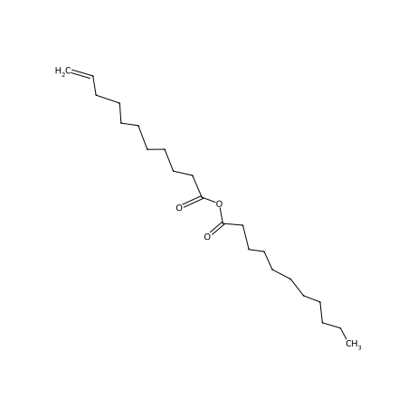 C=CCCCCCCCCC(=O)OC(=O)CCCCCCCCCC